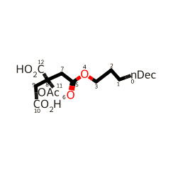 CCCCCCCCCCCCCOC(=O)CC(CC(=O)O)(OC(C)=O)C(=O)O